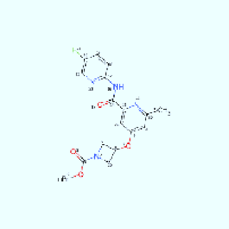 CCCOC(=O)N1CC(Oc2cc(C)nc(C(=O)Nc3ccc(F)cn3)c2)C1